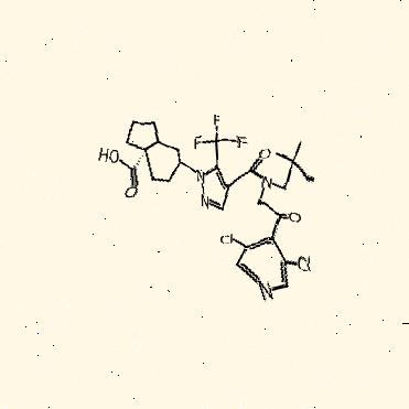 CC(C)(C)CN(CC(=O)c1c(Cl)cncc1Cl)C(=O)c1cnn(C2CC[C@@]3(C(=O)O)CCCC3C2)c1C(F)(F)F